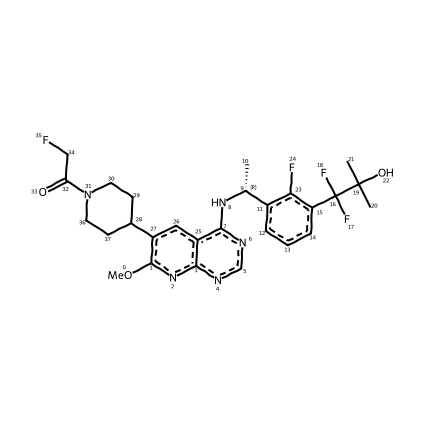 COc1nc2ncnc(N[C@H](C)c3cccc(C(F)(F)C(C)(C)O)c3F)c2cc1C1CCN(C(=O)CF)CC1